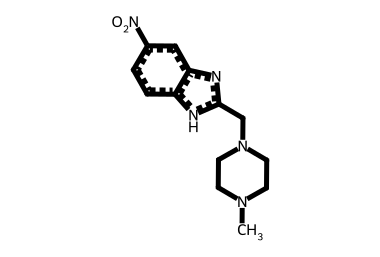 CN1CCN(Cc2nc3cc([N+](=O)[O-])ccc3[nH]2)CC1